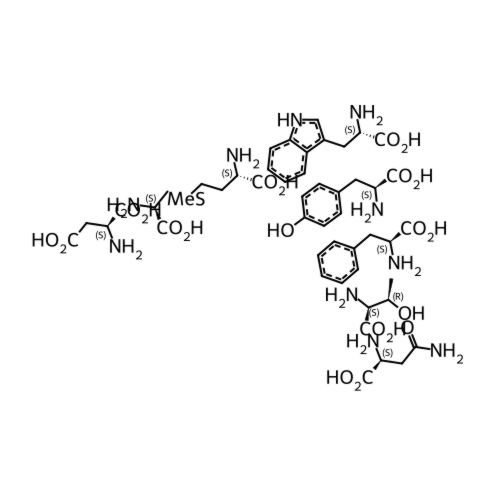 CSCC[C@H](N)C(=O)O.C[C@@H](O)[C@H](N)C(=O)O.C[C@H](N)C(=O)O.NC(=O)C[C@H](N)C(=O)O.N[C@@H](CC(=O)O)C(=O)O.N[C@@H](Cc1c[nH]c2ccccc12)C(=O)O.N[C@@H](Cc1ccc(O)cc1)C(=O)O.N[C@@H](Cc1ccccc1)C(=O)O